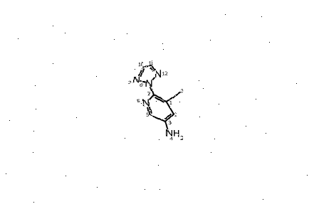 Cc1cc(N)cnc1-n1nccn1